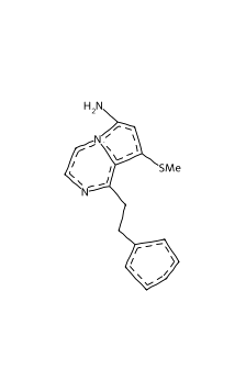 CSc1cc(N)n2ccnc(CCc3ccccc3)c12